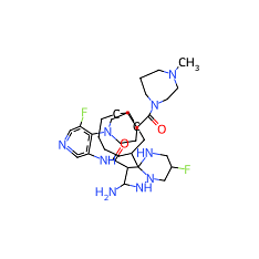 CN1CCCN(C(=O)C2CCN(c3c(F)cncc3NC(=O)C3C(N)NN4CC(F)CNC34C3CCCCCCCC3)CC2)CC1